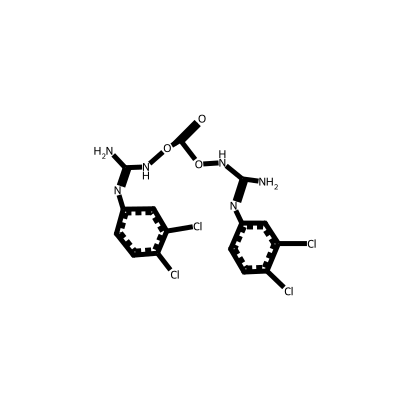 NC(=Nc1ccc(Cl)c(Cl)c1)NOC(=O)ONC(N)=Nc1ccc(Cl)c(Cl)c1